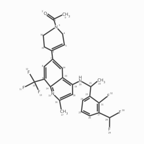 CC(=O)N1CC=C(c2cc(C(F)(F)F)c3nc(C)cc(NC(C)c4cccc(C(F)F)c4F)c3c2)CC1